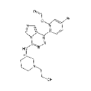 O=COc1cc(Br)ccc1-c1nnc(N[C@@H]2CCCN(CCO)C2)n2cncc12